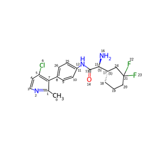 Cc1nccc(Cl)c1-c1ccc(NC(=O)[C@@H](N)[C@H]2CCCC(F)(F)C2)cc1